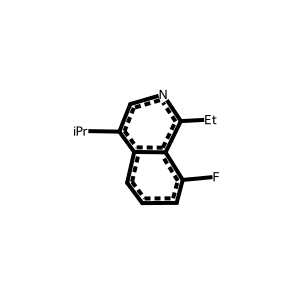 CCc1ncc(C(C)C)c2cccc(F)c12